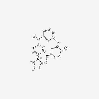 CC(C)Oc1ccnc(ON2C[C@H](C(=O)c3ccccc3-n3ncnn3)CC[C@H]2C)c1